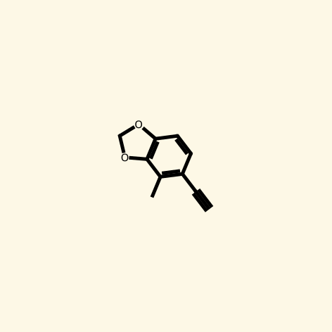 C#Cc1ccc2c(c1C)OCO2